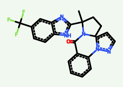 CC1(c2nc3cc(C(F)(F)F)ccc3[nH]2)CCCN1C(=O)c1ccccc1-n1cccn1